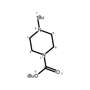 CC(C)COC(=O)N1CCN(C(C)(C)C)CC1